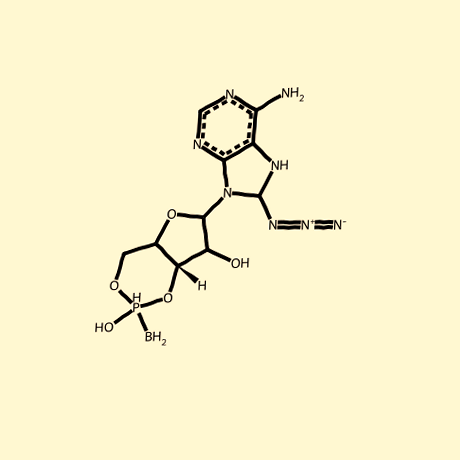 B[PH]1(O)OCC2OC(N3c4ncnc(N)c4NC3N=[N+]=[N-])C(O)[C@@H]2O1